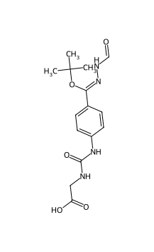 CC(C)(C)OC(=NNC=O)c1ccc(NC(=O)NCC(=O)O)cc1